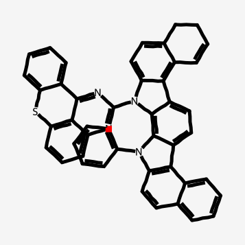 C1=Cc2c(ccc3c2c2ccc4c5c6ccccc6ccc5n(-c5ccccc5)c4c2n3-c2nc3c4c(cccc4n2)Sc2ccccc2-3)CC1